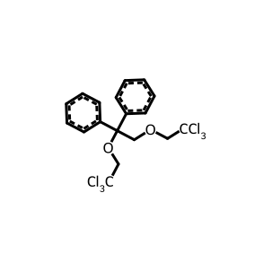 ClC(Cl)(Cl)COCC(OCC(Cl)(Cl)Cl)(c1ccccc1)c1ccccc1